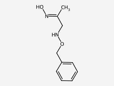 CC(CNOCc1ccccc1)=NO